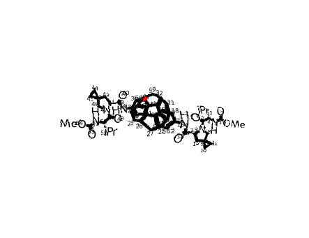 COC(=O)N[C@H](C(=O)N1CC2(CC2)C[C@H]1C(=O)Nc1ccc(-c2cc3ccc2CCc2ccc(c(-c4ccc(NC(=O)[C@@H]5CC6(CC6)CN5C(=O)[C@@H](NC(=O)OC)C(C)C)cc4)c2)CC3)cc1)C(C)C